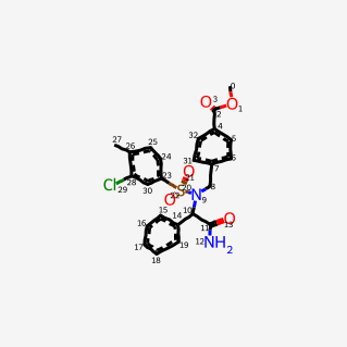 COC(=O)c1ccc(CN(C(C(N)=O)c2ccccc2)S(=O)(=O)c2ccc(C)c(Cl)c2)cc1